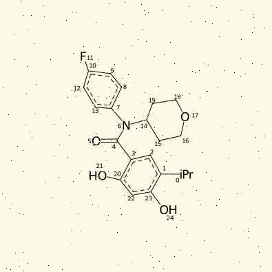 CC(C)c1cc(C(=O)N(c2ccc(F)cc2)C2CCOCC2)c(O)cc1O